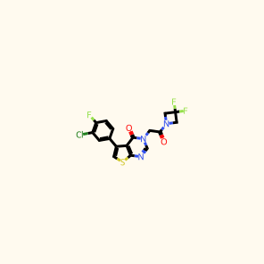 O=C(Cn1cnc2scc(-c3ccc(F)c(Cl)c3)c2c1=O)N1CC(F)(F)C1